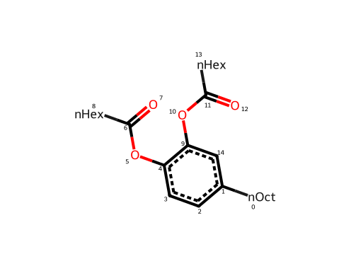 CCCCCCCCc1ccc(OC(=O)CCCCCC)c(OC(=O)CCCCCC)c1